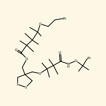 CC(C)CCOC(C)(C)C(C)(C)C(C)(C)C(=O)OCC1(COC(C)(C)C(C)(C)C(=O)NOC(C)(C)C(C)C)CSSC1